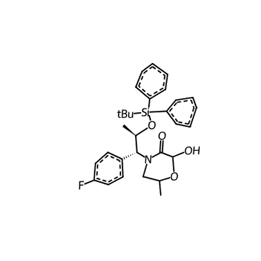 CC1CN([C@H](c2ccc(F)cc2)[C@@H](C)O[Si](c2ccccc2)(c2ccccc2)C(C)(C)C)C(=O)C(O)O1